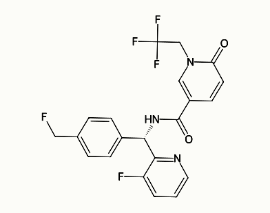 O=C(N[C@@H](c1ccc(CF)cc1)c1ncccc1F)c1ccc(=O)n(CC(F)(F)F)c1